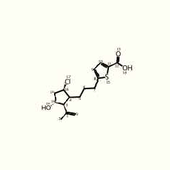 C=C(C)[C@@H]1C(CCCc2ccc(C(=O)O)s2)[C@H](Cl)C[C@H]1O